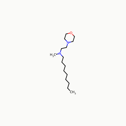 CCCCCCCCCN(C)CCN1CCOCC1